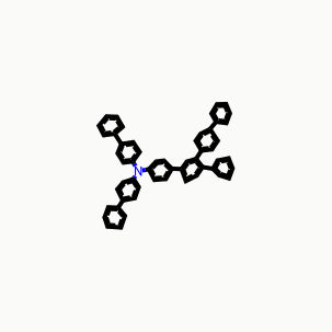 c1ccc(-c2ccc(-c3cc(-c4ccc(N(c5ccc(-c6ccccc6)cc5)c5ccc(-c6ccccc6)cc5)cc4)ccc3-c3ccccc3)cc2)cc1